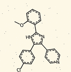 COc1ccccc1-c1nc(-c2ccncc2)c(-c2ccc(Cl)cc2)[nH]1